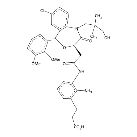 COc1cccc([C@H]2O[C@H](CC(=O)Nc3cccc(CCC(=O)O)c3C)C(=O)N(CC(C)(C)CO)c3ccc(Cl)cc32)c1OC